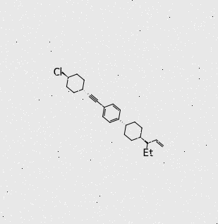 C=CC(CC)[C@H]1CC[C@H](c2ccc(C#C[C@H]3CC[C@H](Cl)CC3)cc2)CC1